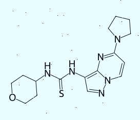 S=C(Nc1cnn2ccc(N3CCCC3)nc12)NC1CCOCC1